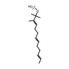 CC=CCCC=CCCC=C(C)C(C)(C)OC(=O)O